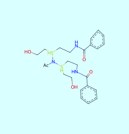 CC(=O)N([SH](CCO)CCNC(=O)c1ccccc1)[SH](CCO)CCNC(=O)c1ccccc1